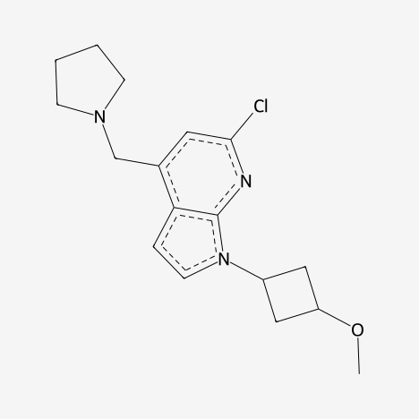 COC1CC(n2ccc3c(CN4CCCC4)cc(Cl)nc32)C1